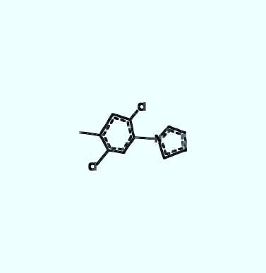 Cc1cc(Cl)c(-n2cccc2)cc1Cl